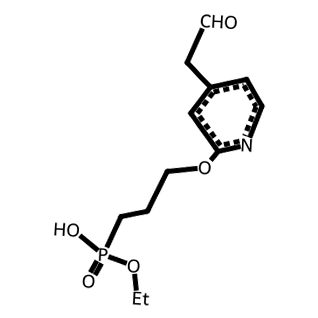 CCOP(=O)(O)CCCOc1cc(CC=O)ccn1